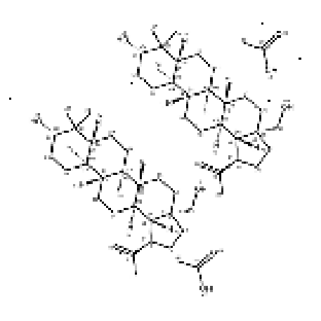 C=C(C)[C@@H]1CC[C@]2(CO)CC[C@]3(C)[C@H](CC[C@@H]4[C@@]5(C)CC[C@H](O)C(C)(C)[C@@H]5CC[C@]43C)[C@@H]12.C=C(C)[C@@H]1CC[C@]2(CO)CC[C@]3(C)[C@H](CC[C@@H]4[C@@]5(C)CC[C@H](O)C(C)(C)[C@@H]5CC[C@]43C)[C@@H]12.CC(=O)O.CC(=O)O